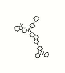 CC1(C)c2ccccc2-c2ccc(N(c3ccc(-c4ccccc4)cc3)c3ccc4c(ccc5cc(-c6ccc7c(c6)c6ccccc6n7-c6ccccc6)ccc54)c3)cc21